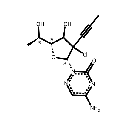 CC#CC1(Cl)C(O)[C@@H]([C@@H](C)O)O[C@H]1n1ncc(N)nc1=O